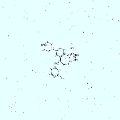 CC1=C2c3ccc(C4=CCNCC4)cc3C(Nc3cccc(F)c3)CCN2NN1